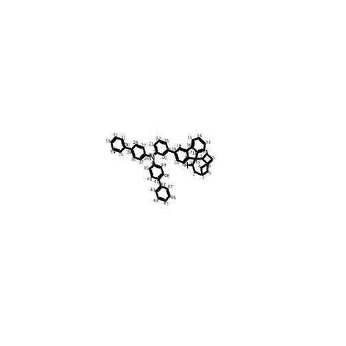 IC1CC2CC3CC(C3C2)C12c1ccccc1-c1cc(-c3cccc(N(c4ccc(-c5ccccc5)cc4)c4ccc(-c5ccccc5)cc4)c3)ccc12